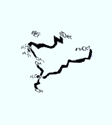 CCCCCCCC/C=C\CCCCCCCC[N+](C)(CCO)CCO.CCCCCCCCCCCCCCCC[N+](C)(C)C.[Br-].[Cl-]